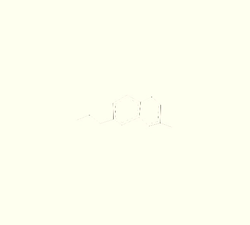 CCCc1ccc2ccc(F)cc2c1